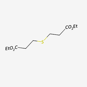 CCOC(=O)CCSCCC(=O)OCC